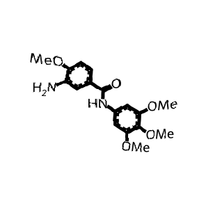 COc1ccc(C(=O)Nc2cc(OC)c(OC)c(OC)c2)cc1N